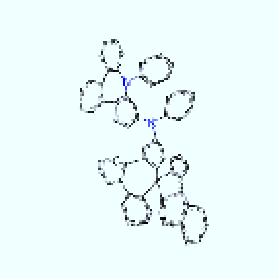 c1ccc(N(c2ccc3c(c2)-c2ccccc2-c2ccccc2C32c3ccccc3-c3c2ccc2ccccc32)c2ccc3c(c2)N(c2ccccc2)c2ccccc2-c2ccccc2-3)cc1